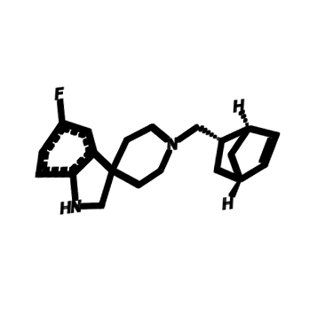 Fc1ccc2c(c1)C1(CCN(C[C@H]3C[C@H]4C=C[C@H]3C4)CC1)CN2